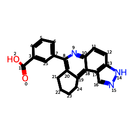 O=C(O)c1cccc(-c2nc3ccc4[nH]ncc4c3c3c2CCCC3)c1